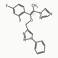 C/C(=C(/OCc1cn(-c2ccccc2)nn1)c1ccc(F)cc1F)n1cncn1